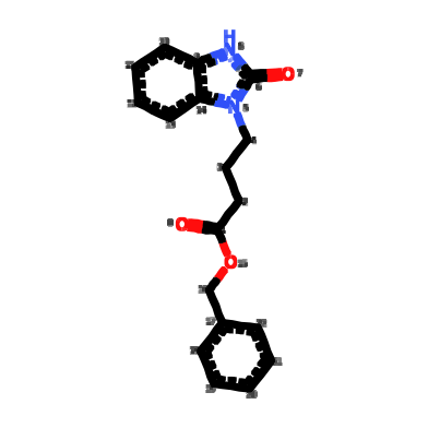 O=C(CCCn1c(=O)[nH]c2ccccc21)OCc1ccccc1